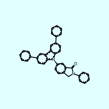 O=C1c2cc(-n3c4ccc(-c5ccccc5)cc4c4cc(-c5ccccc5)ccc43)ccc2CN1c1ccccc1